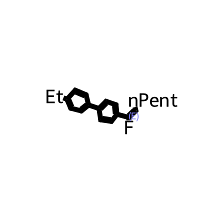 CCCCC/C=C(/F)c1ccc(-c2ccc(CC)cc2)cc1